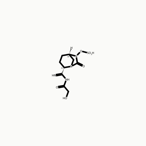 N=C(NC(=O)CO)[C@@H]1CC[C@@H]2CN1C(=O)N2OS(=O)(=O)O